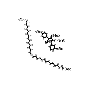 CCCCCCC1=C(c2ccc(CCCC)cc2)[N+](=[N-])C(c2cccc(CCCC)c2)=C1CCCCC.CCCCCCCCCCCCCCCCCCCCCCC[CH2][Ni][CH2]CCCCCCCCCCCCCCCCCCCCCCC